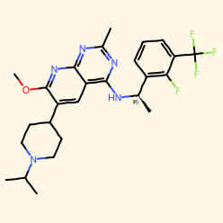 COc1nc2nc(C)nc(N[C@H](C)c3cccc(C(F)(F)F)c3F)c2cc1C1CCN(C(C)C)CC1